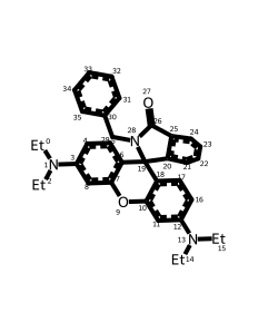 CCN(CC)c1ccc2c(c1)Oc1cc(N(CC)CC)ccc1C21c2ccccc2C(=O)N1Cc1ccccc1